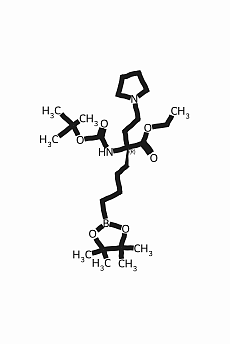 CCOC(=O)[C@@](CCCCB1OC(C)(C)C(C)(C)O1)(CCN1CCCC1)NC(=O)OC(C)(C)C